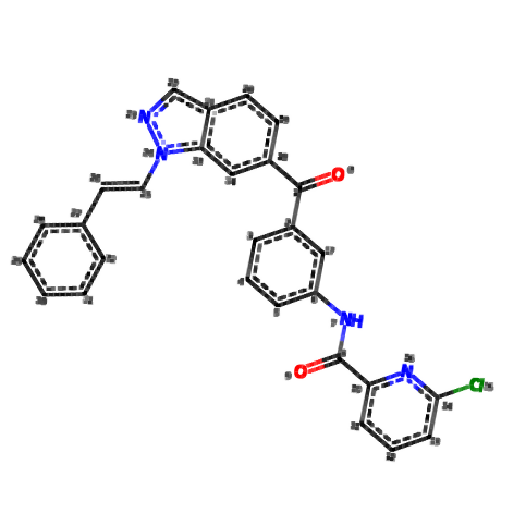 O=C(c1cccc(NC(=O)c2cccc(Cl)n2)c1)c1ccc2cnn(C=Cc3ccccc3)c2c1